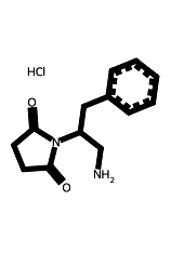 Cl.NCC(Cc1ccccc1)N1C(=O)CCC1=O